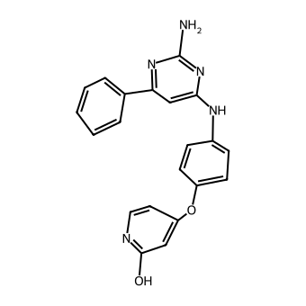 Nc1nc(Nc2ccc(Oc3ccnc(O)c3)cc2)cc(-c2ccccc2)n1